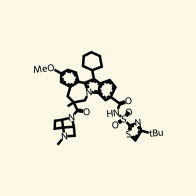 COc1ccc2c(c1)CC(C)(C(=O)N1C3CCC34C1CN4C)Cn1c-2c(C2CCCCC2)c2ccc(C(=O)NS(=O)(=O)c3nc(C(C)(C)C)cs3)cc21